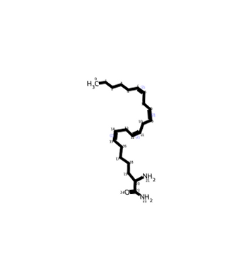 CCCCC/C=C\C/C=C\C/C=C\C/C=C\CCCCC(N)C(N)=O